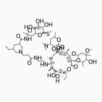 CCC1CC(C(=O)NC(C)(Cl)CC2O[C@H](SC)C(O)[C@H](O)[C@H]2O)CN(CCC(=O)NCCN[C@@H]2[C@H](C)[C@@H](O)[C@](C)(O)[C@@H](CC)OC(=O)[C@H](C)[C@@H](OC3CC(C)(OC)C(O)C(C)O3)[C@H](C)[C@@H](OC3OC(C)CC(N(C)C)C3O)[C@](C)(O)C[C@H]2C)C1